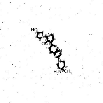 CC1(N)CCN(c2cnc3nc(-c4ccnc(N5CC[C@@H](O)C5)c4Cl)ccc3n2)CC1